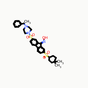 CC(c1ccccc1)N1CCN(S(=O)(=O)c2ccc3c(c2)/C(=N\O)c2cc(S(=O)(=O)C4CCC(C)(C)CC4)ccc2-3)CC1